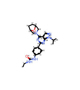 CCNC(=O)Nc1ccc(-c2nc(N3CC4CCC(C3)O4)c3cnn(C(C)C)c3n2)cc1